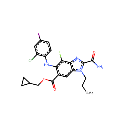 COCCn1c(C(N)=O)nc2c(F)c(Nc3ccc(I)cc3Cl)c(C(=O)OCC3CC3)cc21